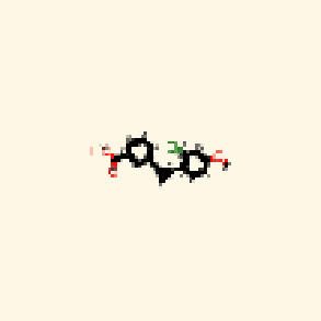 COc1ccc([C@H]2CC2c2cccc(C(=O)O)c2)c(Cl)c1